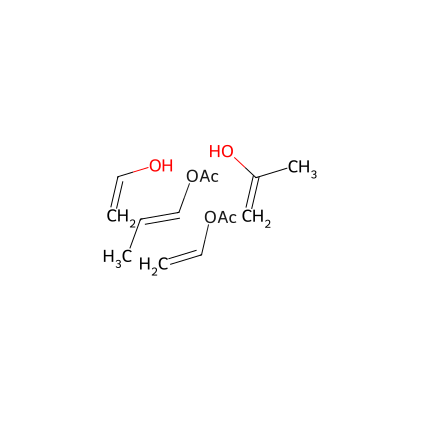 C=C(C)O.C=CO.C=COC(C)=O.CC=COC(C)=O